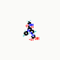 CC(C)(NC(=O)c1cn(-c2c(F)cc(F)cc2F)c2nc(N3C[C@@H](O)[C@H](O)C3)c(F)cc2c1=O)C(F)F